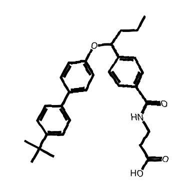 CCCC(Oc1ccc(-c2ccc(C(C)(C)C)cc2)cc1)c1ccc(C(=O)NCCC(=O)O)cc1